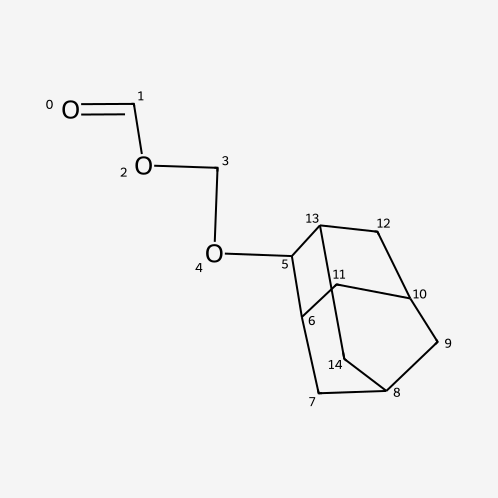 O=COCOC1C2CC3CC(C2)CC1C3